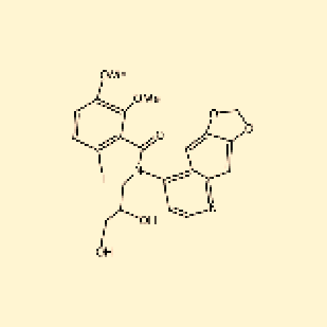 COc1ccc(I)c(C(=O)N(CC(O)CO)c2ccnc3cc4c(cc23)OCO4)c1OC